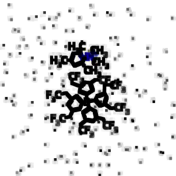 Cc1cc(C)c([NH+](C)C)c(C)c1.FC(F)(F)Cc1cc(CC(F)(F)F)cc([B-](c2cc(CC(F)(F)F)cc(CC(F)(F)F)c2)(c2cc(CC(F)(F)F)cc(CC(F)(F)F)c2)c2cc(CC(F)(F)F)cc(CC(F)(F)F)c2)c1